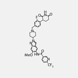 COc1cc2nn(C3CCN(Cc4ccc(C5CCC(=O)NC5=O)c(F)c4)CC3)cc2cc1NC(=O)c1ccc(C(F)(F)F)nc1